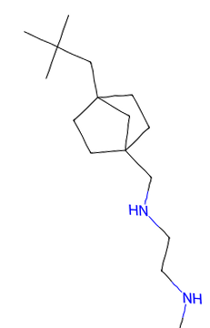 CNCCNCC12CCC(CC(C)(C)C)(CC1)C2